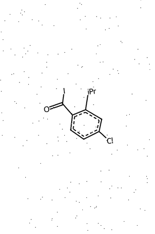 CC(C)c1cc(Cl)ccc1C(=O)I